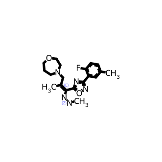 C/N=N\C(=C(/C)CN1CCCOCC1)c1nc(-c2cc(C)ccc2F)no1